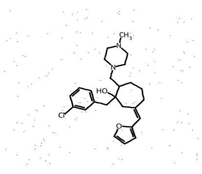 CN1CCN(CC2CCCC(=Cc3ccco3)CC2(O)Cc2cccc(Cl)c2)CC1